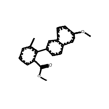 COC(=O)c1cccc(C)c1-c1ccc2cc(OC)ccc2c1